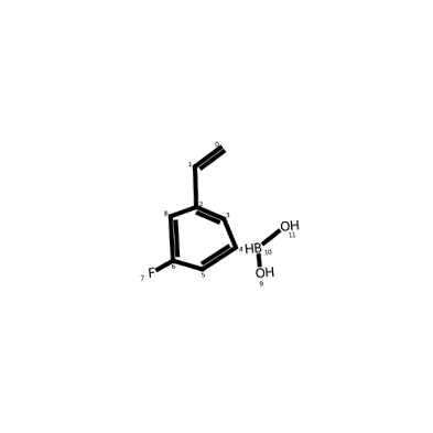 C=Cc1cccc(F)c1.OBO